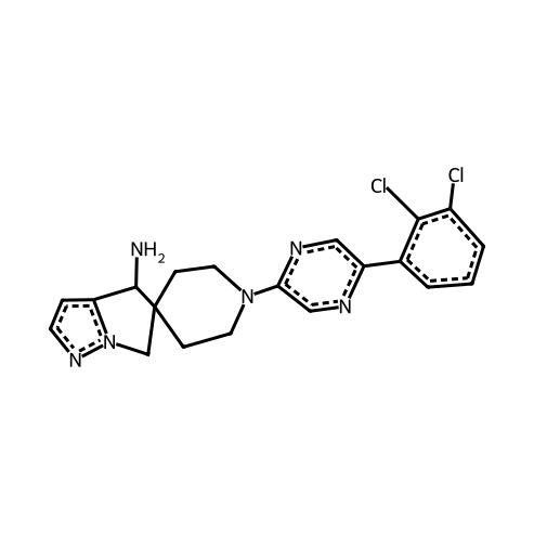 NC1c2ccnn2CC12CCN(c1cnc(-c3cccc(Cl)c3Cl)cn1)CC2